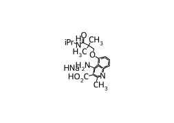 Cc1nc2cccc(OCC(C)(C)C(=O)NC(C)C)c2c(N)c1C(=O)O.[NaH]